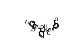 COc1ccc(CNC(=O)c2ccncc2NC(=O)COc2cccc(C=O)c2)c(OC)c1